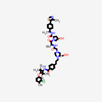 Cc1ncsc1-c1ccc([C@H](C)NC(=O)[C@@H]2C[C@@H](O)CN2C(=O)[C@@H](NC(=O)CN2CCN(CCCc3ccc(C(=O)NC4C(C)(C)C(Oc5ccc(C#N)c(Cl)c5)C4(C)C)cc3)[C@@H](CO)C2)C(C)(C)C)cc1